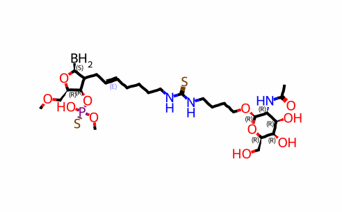 B[C@@H]1O[C@H](COC)[C@H](OP(O)(=S)OC)C1C/C=C/CCCCNC(=S)NCCCCO[C@@H]1O[C@H](CO)[C@H](O)[C@H](O)[C@H]1NC(C)=O